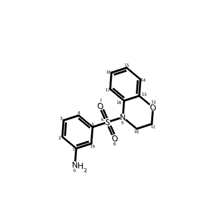 Nc1cccc(S(=O)(=O)N2CCOc3ccccc32)c1